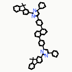 CC1(C)c2ccccc2-c2ccc(-c3nc(-c4ccccc4)cc(-c4ccc(-c5cccc6c(-c7ccc(-c8cc(-c9ccccc9)nc(-c9ccc%10c(c9)C(C)(C)c9ccccc9-%10)n8)cc7)cccc56)cc4)n3)cc21